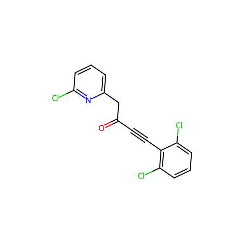 O=C(C#Cc1c(Cl)cccc1Cl)Cc1cccc(Cl)n1